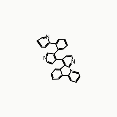 c1ccc(-c2ccccc2-c2cnccc2-c2ccncc2-c2ccccc2-c2ccccn2)nc1